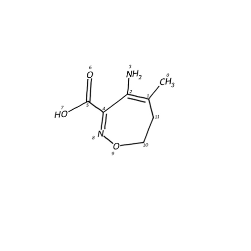 CC1=C(N)C(C(=O)O)=NOCC1